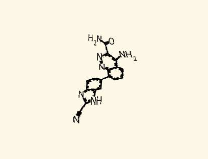 N#Cc1nc2ccc(-c3cccc4c(N)c(C(N)=O)nnc34)cc2[nH]1